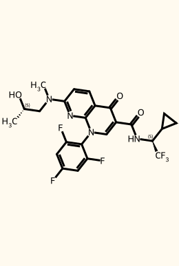 C[C@H](O)CN(C)c1ccc2c(=O)c(C(=O)N[C@@H](C3CC3)C(F)(F)F)cn(-c3c(F)cc(F)cc3F)c2n1